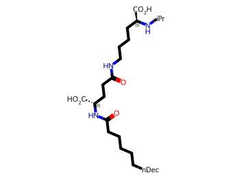 CCCCCCCCCCCCCCCC(=O)N[C@@H](CCC(=O)NCCCC[C@H](NC(C)C)C(=O)O)C(=O)O